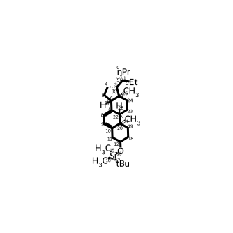 CCC[C@H](CC)[C@H]1CC[C@H]2C3=CC=C4CC(O[Si](C)(C)C(C)(C)C)CC[C@]4(C)[C@H]3CC[C@]12C